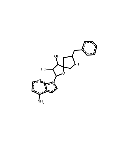 Nc1ncnc2c1ccn2C1OC2(CNC(Cc3ccccc3)C2)C(O)C1O